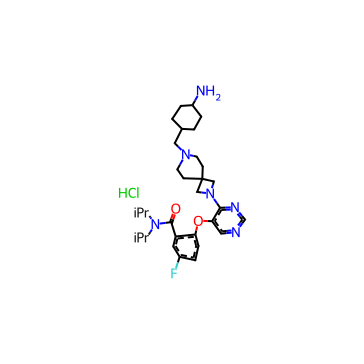 CC(C)N(C(=O)c1cc(F)ccc1Oc1cncnc1N1CC2(CCN(CC3CCC(N)CC3)CC2)C1)C(C)C.Cl